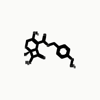 COc1ccc(COC(=O)C2=C(C)CS[C@@H]3C(N)C(=O)N23)cc1